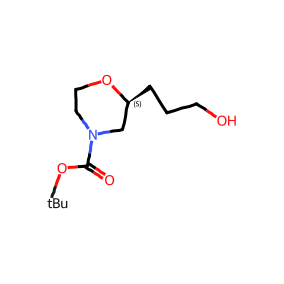 CC(C)(C)OC(=O)N1CCO[C@@H](CCCO)C1